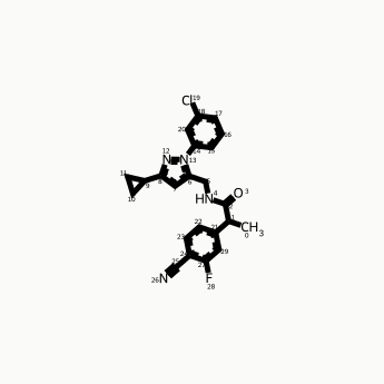 CC(C(=O)NCc1cc(C2CC2)nn1-c1cccc(Cl)c1)c1ccc(C#N)c(F)c1